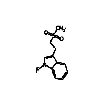 [CH2]S(=O)(=O)CCc1cn(F)c2ccccc12